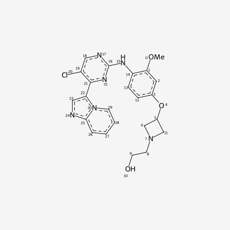 COc1cc(OC2CN(CCO)C2)ccc1Nc1ncc(Cl)c(-c2cnc3ccccn23)n1